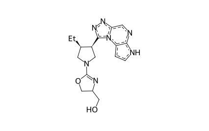 CC[C@@H]1CN(C2=NC(CO)CO2)C[C@@H]1c1nnc2cnc3[nH]ccc3n12